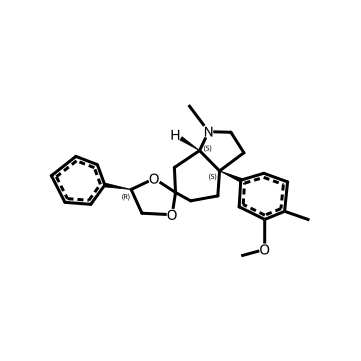 COc1cc([C@]23CCN(C)[C@H]2CC2(CC3)OC[C@@H](c3ccccc3)O2)ccc1C